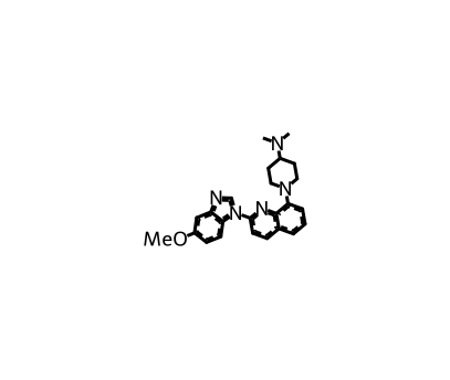 COc1ccc2c(c1)ncn2-c1ccc2cccc(N3CCC(N(C)C)CC3)c2n1